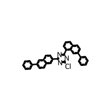 Clc1nc(-c2ccc3cc(-c4ccccc4)ccc3c2)nc(-c2cccc3ccc(-c4ccccc4)cc23)n1